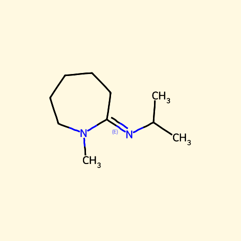 CC(C)/N=C1\CCCCCN1C